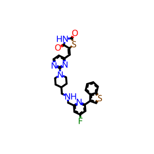 O=C1NC(=O)/C(=C\c2ccnc(N3CCC(CNCc4cc(F)cc(-c5csc6ccccc56)n4)CC3)n2)S1